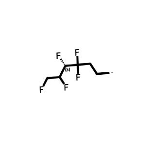 [CH2]CCC(F)(F)[C@@H](F)C(F)CF